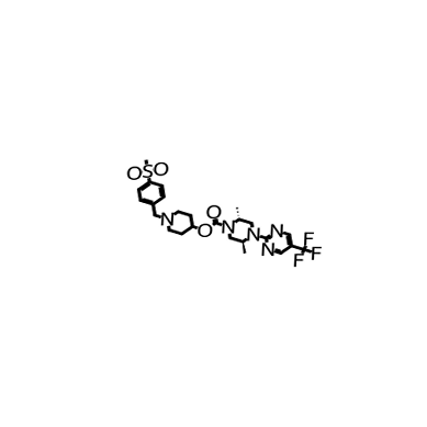 C[C@@H]1CN(c2ncc(C(F)(F)F)cn2)[C@@H](C)CN1C(=O)OC1CCN(Cc2ccc(S(C)(=O)=O)cc2)CC1